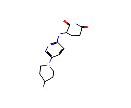 O=CC1CCN(c2ccc(NC3CCC(=O)NC3=O)nc2)CC1